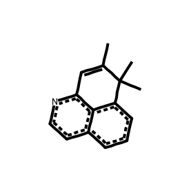 CC1=Cc2nccc3cccc(c23)C1(C)C